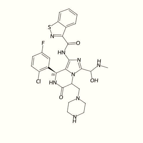 CNC(O)c1nc(NC(=O)c2nsc3ccccc23)c2n1C(CN1CCNCC1)C(=O)N[C@H]2c1cc(F)ccc1Cl